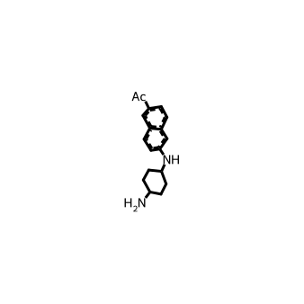 CC(=O)c1ccc2cc(NC3CCC(N)CC3)ccc2c1